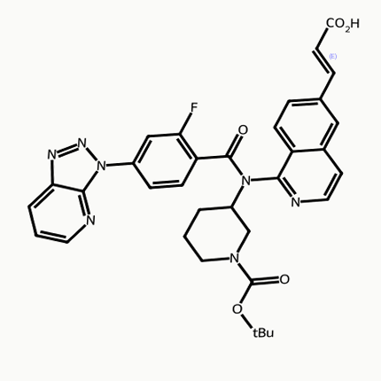 CC(C)(C)OC(=O)N1CCCC(N(C(=O)c2ccc(-n3nnc4cccnc43)cc2F)c2nccc3cc(/C=C/C(=O)O)ccc23)C1